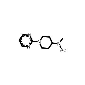 CC(=O)N(C)C1CCN(c2ncccn2)CC1